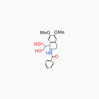 COc1cc2c(cc1OC)C(C(CO)CO)N(NC(=O)c1ccccc1)CC2